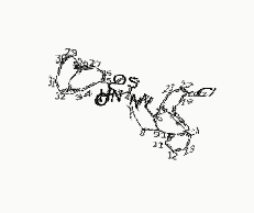 O=S(=O)(NC(=S)N1CCC(c2ccccc2)C(c2ccc(Cl)cc2)=N1)c1ccc2ccccc2c1